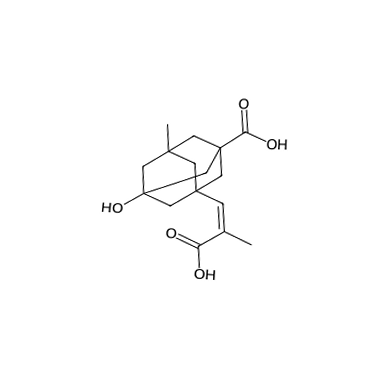 CC(=CC12CC3(C)CC(O)(C1)CC(C(=O)O)(C3)C2)C(=O)O